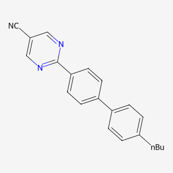 CCCCc1ccc(-c2ccc(-c3ncc(C#N)cn3)cc2)cc1